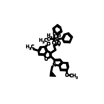 CCc1cc(OC)c2c(CCO[Si](c3ccccc3)(c3ccccc3)C(C)(C)C)c(-c3cc4ccc(OC)cc4n3CC3CC3)oc2c1